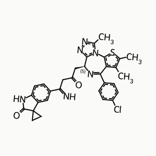 Cc1sc2c(c1C)C(c1ccc(Cl)cc1)=N[C@@H](CC(=O)CC(=N)c1ccc3c(c1)C1(CC1)C(=O)N3)c1nnc(C)n1-2